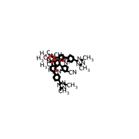 Cc1nc(C)nc(-c2ccc3c4ccc(-c5nc(C)nc(C)n5)cc4n(-c4cc(C#N)cc(-n5c6cc(-c7nc(C)nc(C)n7)ccc6c6ccc(-c7nc(C)nc(C)n7)cc65)c4-c4c(C(F)(F)F)cccc4C(F)(F)F)c3c2)n1